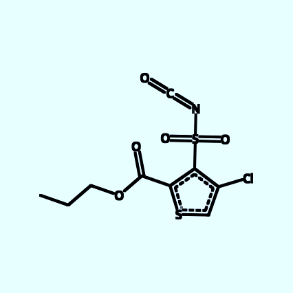 CCCOC(=O)c1scc(Cl)c1S(=O)(=O)N=C=O